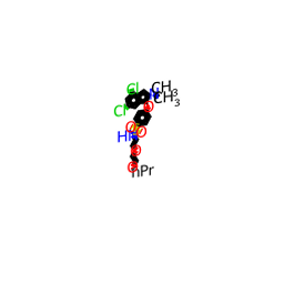 CCCOCCOCCNS(=O)(=O)c1ccc(O[C@H]2c3cc(Cl)cc(Cl)c3C[C@@H]2N(C)C)cc1